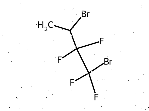 [CH2]C(Br)C(F)(F)C(F)(F)Br